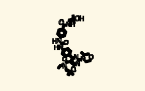 CCN1CC(C)(C)Oc2nc(N3CCOCC3C)nc(-c3ccc(NC(=O)Nc4ccc(C(=O)NCC(C)(C)O)cc4)cc3)c2C1=O